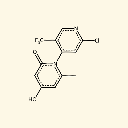 Cc1cc(O)cc(=O)n1-c1cc(Cl)ncc1C(F)(F)F